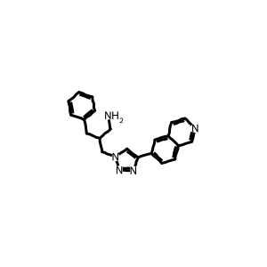 NCC(Cc1ccccc1)Cn1cc(-c2ccc3cnccc3c2)nn1